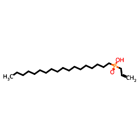 C=CCP(=O)(O)CCCCCCCCCCCCCCCCCC